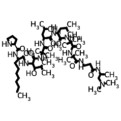 CCCCCCCCC(NC(=O)[C@@H]1CCCN1)C(=O)NC(C(=O)NC(C)(C)C(=O)NC(CC(C)C)C(=O)NC(CC(C)C)C(=O)NC(C)(C)C(=O)NC(C)(C)C(=O)NCCC(=O)NC(C)CN(C)C)C(O)C(C)C